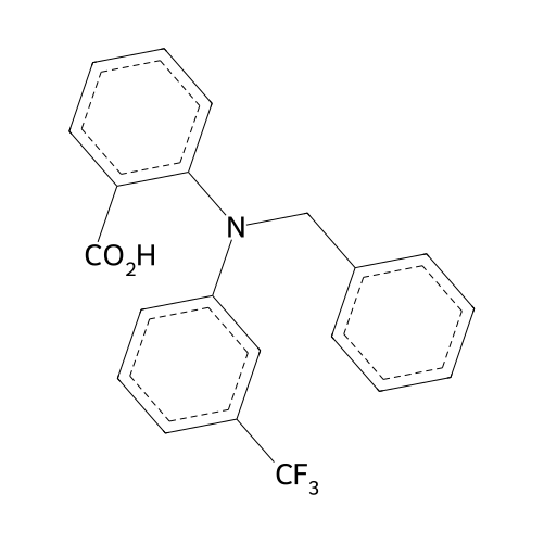 O=C(O)c1ccccc1N(Cc1ccccc1)c1cccc(C(F)(F)F)c1